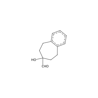 O=CC1(O)CCc2ccccc2CC1